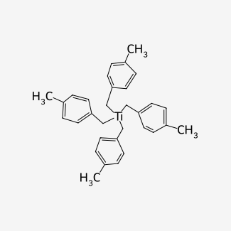 Cc1ccc([CH2][Ti]([CH2]c2ccc(C)cc2)([CH2]c2ccc(C)cc2)[CH2]c2ccc(C)cc2)cc1